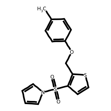 Cc1ccc(OCc2sccc2S(=O)(=O)n2cccc2)cc1